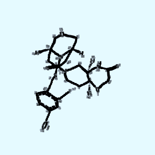 O=C1CO[C@H]2CCN(C(=O)N3[C@@H]4COC[C@H]3CC(OCc3ccc(C(F)(F)F)cc3F)C4)C[C@H]2N1